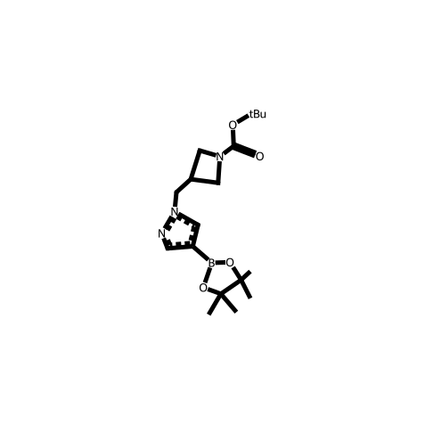 CC(C)(C)OC(=O)N1CC(Cn2cc(B3OC(C)(C)C(C)(C)O3)cn2)C1